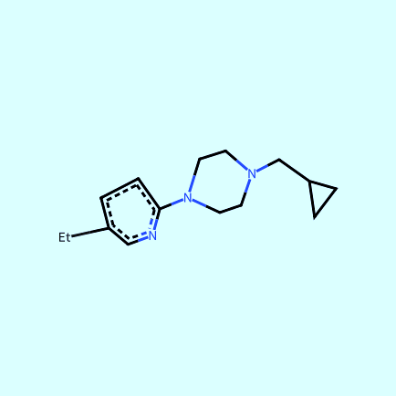 CCc1ccc(N2CCN(CC3CC3)CC2)nc1